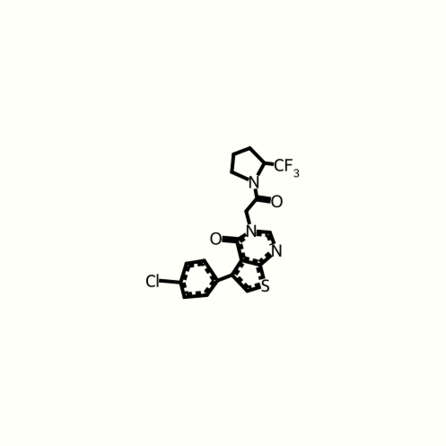 O=C(Cn1cnc2scc(-c3ccc(Cl)cc3)c2c1=O)N1CCCC1C(F)(F)F